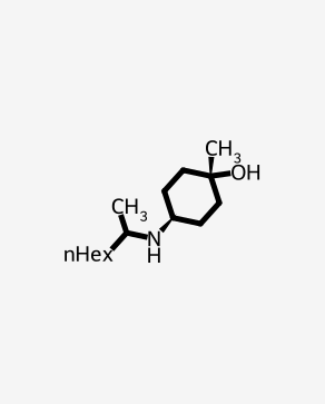 CCCCCCC(C)N[C@H]1CC[C@](C)(O)CC1